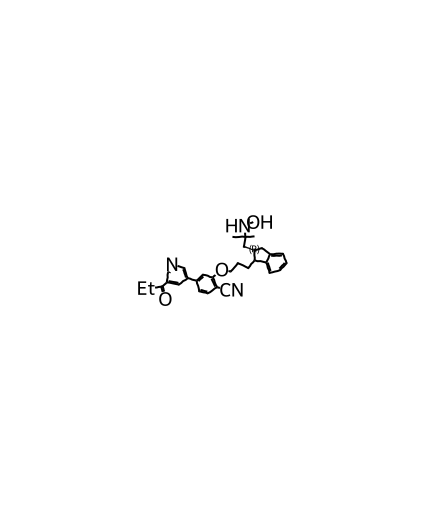 CCC(=O)c1cncc(-c2ccc(C#N)c(OCCCC3c4ccccc4C[C@@H]3CC(C)(C)NO)c2)c1